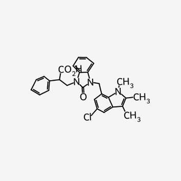 Cc1c(C)n(C)c2c(Cn3c(=O)n(CC(C(=O)O)c4ccccc4)c4ccccc43)cc(Cl)cc12